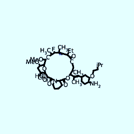 CCC1/C=C(\C)C(F)C(C)CC(OC)C2OC(O)(C(=O)C(=O)N3CCCCC3C(=O)OC(C(C)=CC3CCC(N)C(OCCC(C)C)C3)C(C)CCC1=O)C(C)CC2OC